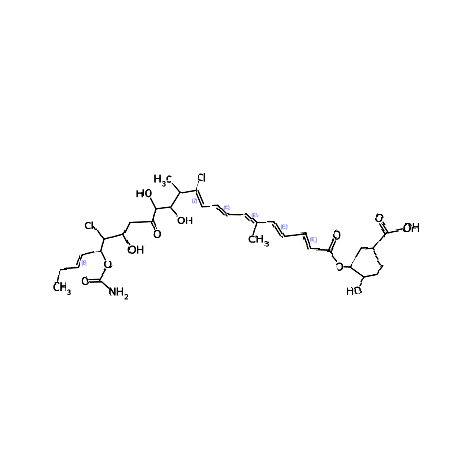 CC/C=C/C(OC(N)=O)C(Cl)C(O)CC(=O)C(O)C(O)C(C)/C(Cl)=C/C=C/C=C(C)/C=C/C=C/C(=O)OC1CC(C(=O)O)CCC1O